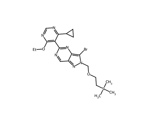 CCOc1ncnc(C2CC2)c1-c1ncc2nn(COCC[Si](C)(C)C)c(Br)c2n1